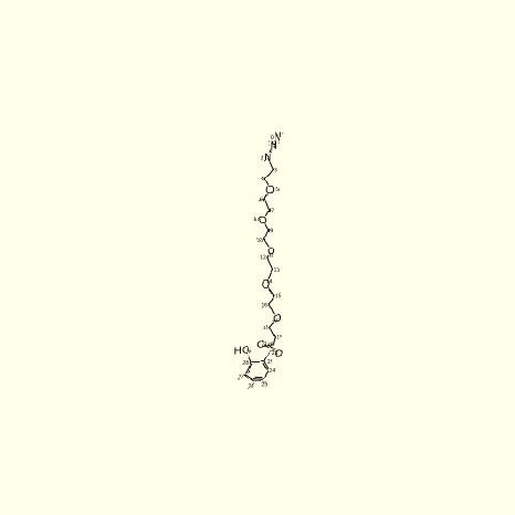 [N-]=[N+]=NCCOCCOCCOCCOCCOCCS(=O)(=O)c1ccccc1O